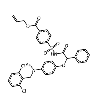 C=CCOC(=O)c1ccc(S(=O)(=O)NC(=O)C(Oc2ccc(N(Cc3c(Cl)cccc3Cl)C(C)=O)cc2)c2ccccc2)cc1